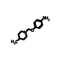 CC1CCN(COc2ccc(N)cc2)CC1